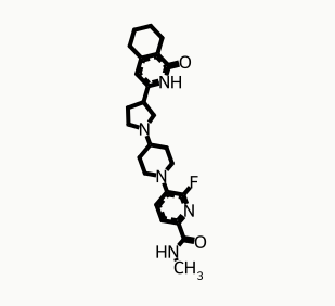 CNC(=O)c1ccc(N2CCC(N3CCC(c4cc5c(c(=O)[nH]4)CCCC5)C3)CC2)c(F)n1